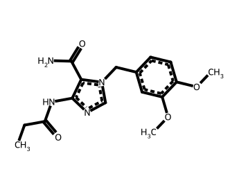 CCC(=O)Nc1ncn(Cc2ccc(OC)c(OC)c2)c1C(N)=O